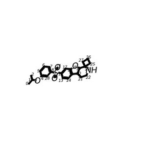 CC(C)Oc1cccc(S(=O)(=O)c2ccc3c(c2)OC2C3CCNC23CCC3)c1